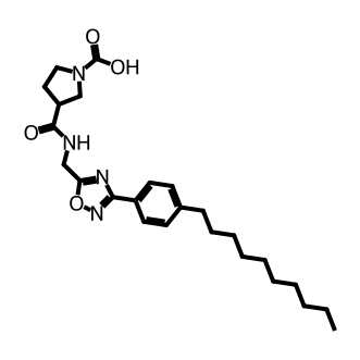 CCCCCCCCCCc1ccc(-c2noc(CNC(=O)C3CCN(C(=O)O)C3)n2)cc1